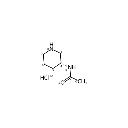 CC(=O)N[C@@H]1CCCNC1.Cl